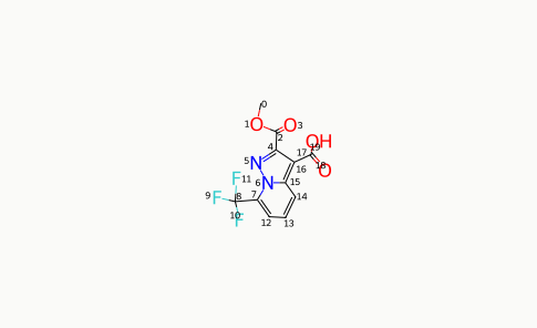 COC(=O)c1nn2c(C(F)(F)F)cccc2c1C(=O)O